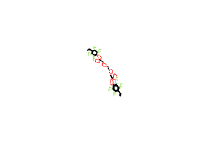 C=Cc1c(F)c(F)c(OC(=O)COCCOCC(=O)Oc2c(F)c(F)c(C=C)c(F)c2F)c(F)c1F